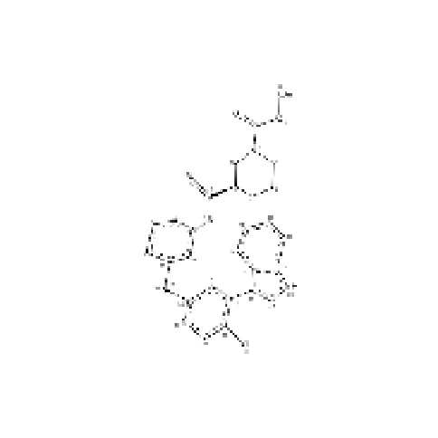 CC(C)(C)OC(=O)N1CCC[C@@H](C(=O)Nc2cccc(Nc3ncc(Cl)c(-c4c[nH]c5ccccc45)n3)c2)C1